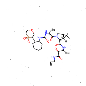 C=CCNC(=O)C(=O)[C@H](CCCC)NC(=O)[C@@H]1[C@H]2C(CN1C(=O)[C@@H](NC(=O)NC1CCCCCC1C1COCCS1(=O)=O)C(C)(C)C)C2(C)C